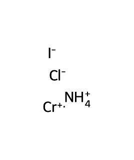 [Cl-].[Cr+].[I-].[NH4+]